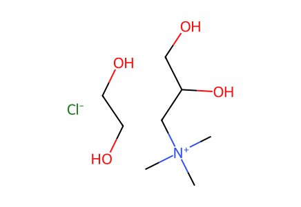 C[N+](C)(C)CC(O)CO.OCCO.[Cl-]